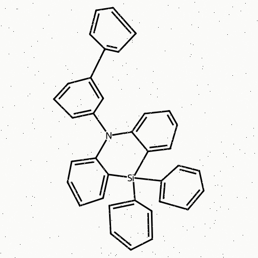 c1ccc(-c2cccc(N3c4ccccc4[Si](c4ccccc4)(c4ccccc4)c4ccccc43)c2)cc1